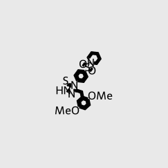 COc1ccc(OC)c(Cc2n[nH]c(=S)n2-c2ccc(S(=O)(=O)N3CCCCC3)cc2)c1